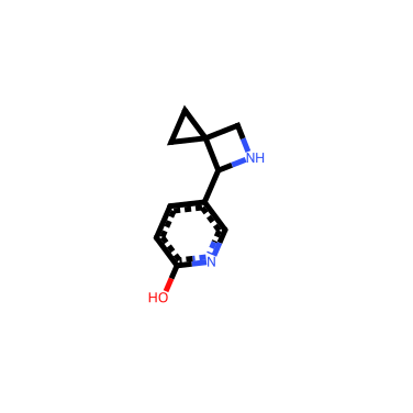 Oc1ccc(C2NCC23CC3)cn1